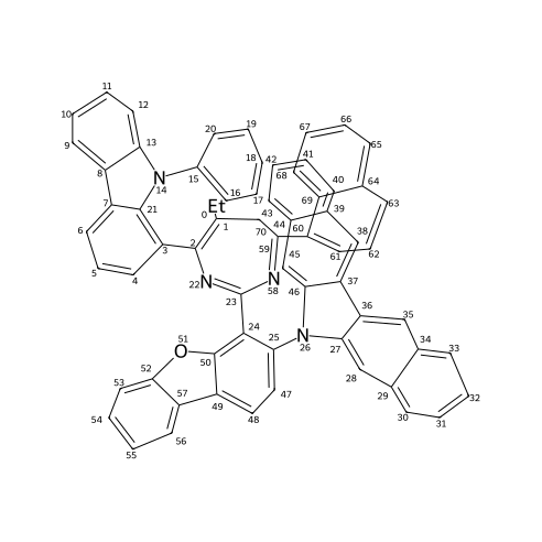 CCC1=C(c2cccc3c4ccccc4n(-c4ccccc4)c23)N=C(c2c(-n3c4cc5ccccc5cc4c4cc5ccccc5cc43)ccc3c2oc2ccccc23)N=C(c2cccc3ccccc23)C1